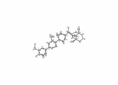 COc1cc(-c2ccc(-c3ncc(N(C)[C@@H]4C[C@H]5CCC[C@@H](C4)N5)nn3)c(O)c2)nnc1C